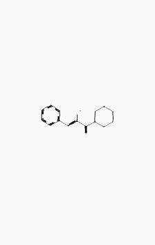 O=C(/C(O)=C/c1ccccc1)C1CCCCC1